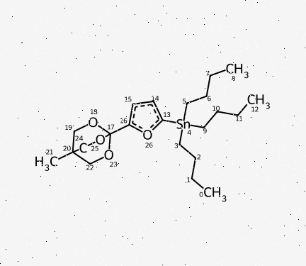 CCC[CH2][Sn]([CH2]CCC)([CH2]CCC)[c]1ccc(C23OCC(C)(CO2)CO3)o1